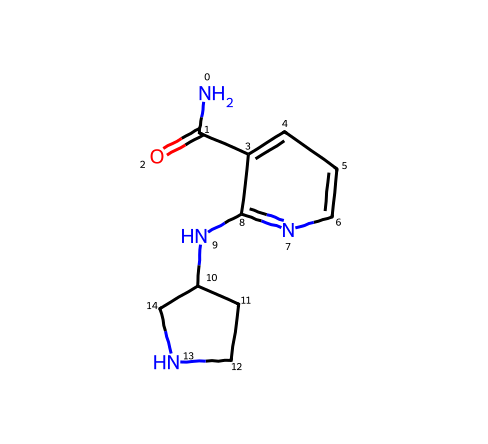 NC(=O)c1cccnc1NC1CCNC1